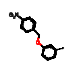 Cc1cccc(OCc2ccc([N+](=O)[O-])cc2)c1